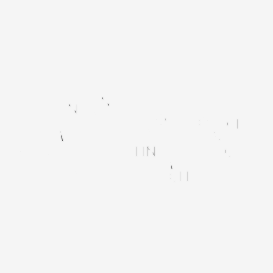 C[C@H](/C=C/S(C)(=O)=O)NC(=O)c1ccc(N2CCCC[C@@H]2c2ccccc2Cl)nc1